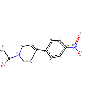 CB(O)N1CC=C(c2ccc([N+](=O)[O-])cc2)CC1